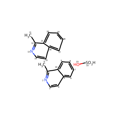 Cc1nccc2ccccc12.Cc1nccc2ccccc12.O=S(=O)(O)O